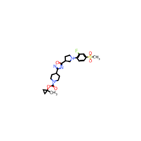 CC1(OC(=O)N2CCC(c3noc(C4CCN(c5ccc(S(C)(=O)=O)cc5F)C4)n3)CC2)CC1